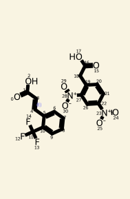 O=C(O)/C=C/c1ccccc1C(F)(F)F.O=C(O)Cc1ccc([N+](=O)[O-])cc1[N+](=O)[O-]